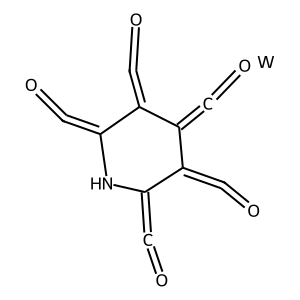 O=C=C1NC(=C=O)C(=C=O)C(=C=O)C1=C=O.[W]